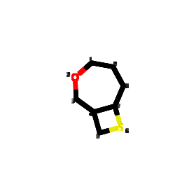 C1COCC2CSC2C1